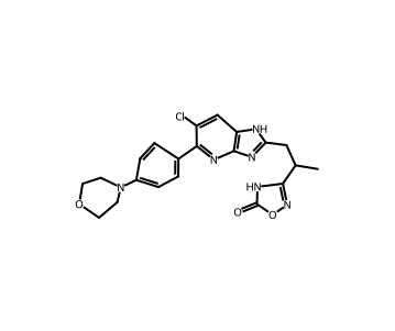 CC(Cc1nc2nc(-c3ccc(N4CCOCC4)cc3)c(Cl)cc2[nH]1)c1noc(=O)[nH]1